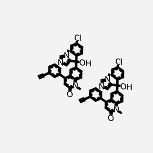 C#Cc1cccc(-c2cc(=O)n(C)c3ccc(C(O)(c4ccc(Cl)cc4)c4cncn4C)cc23)c1.C#Cc1cccc(-c2cc(=O)n(C)c3ccc(C(O)(c4ccc(Cl)cc4)c4cncn4C)cc23)c1